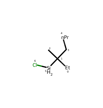 [CH2]CC(C)(CCCC)[SiH2]Cl